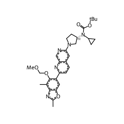 COCOc1c(-c2ccc3cc(N4CC[C@H](N(C(=O)OC(C)(C)C)C5CC5)C4)ncc3n2)cc2oc(C)nc2c1C